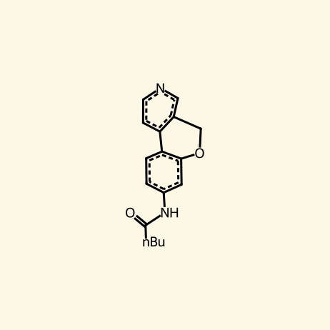 CCCCC(=O)Nc1ccc2c(c1)OCc1cnccc1-2